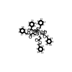 O=C(CC[C@H](NP(=O)(OCc1ccccc1)OCC(NC(=O)c1ccccc1)C(=O)OCc1ccccc1)C(=O)OCc1ccccc1)OCc1ccccc1